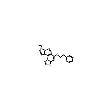 CCn1ncc2c1ncc1c(OCCc3ccccc3)nc3ncnn3c12